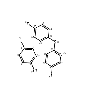 Clc1ccc(I)cn1.Fc1ccc(Sc2ccc(I)cn2)cc1